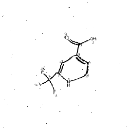 O=C(O)C1=CCNC(C(F)(F)F)=C1